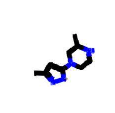 CC1=N[N]C(N2CCNC(C)C2)=C1